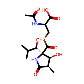 CC(=O)NC(CSC(=O)[C@]1(C(O)C(C)C)NC(=O)[C@H](C)[C@@H]1O)C(=O)O